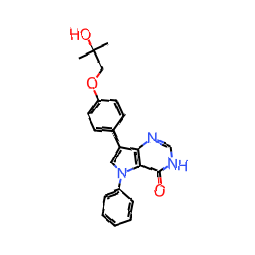 CC(C)(O)COc1ccc(-c2cn(-c3ccccc3)c3c(=O)[nH]cnc23)cc1